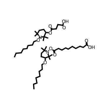 CCCCCCCCOC1CCC(C)(C)N(OC(=O)CCCCCCCCC(=O)O)C1(C)C.CCCCCCCCON1C(C)(C)CCC(OC(=O)CCC(=O)O)C1(C)C